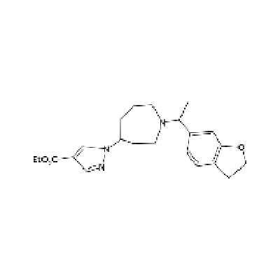 CCOC(=O)c1cnn(C2CCCN(C(C)c3ccc4c(c3)OCC4)CC2)c1